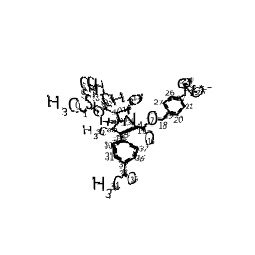 CC[Si](CC)(CC)OC(C)[C@H]1C(=O)N2C(C(=O)OCc3ccc([N+](=O)[O-])cc3)=C(c3ccc(C(C)=O)cc3)[C@H](C)[C@H]12